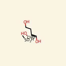 CS(=O)(=O)O.O=CO.OC=CCCO